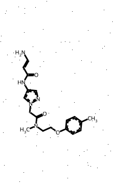 Cc1ccc(OCCN(C)C(=O)Cn2cc(NC(=O)C=CN)cn2)cc1